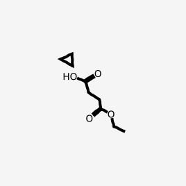 C1CC1.CCOC(=O)CCC(=O)O